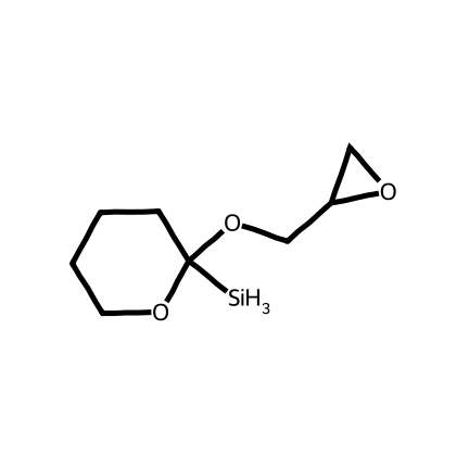 [SiH3]C1(OCC2CO2)CCCCO1